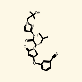 CC(C)C[C@@H](C(=O)Nc1ccn(CC(C)(C)O)n1)N1CC(Oc2cccc(C#N)c2)=CC1=O